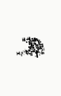 CCn1cnc2c(Nc3cccc(Cl)c3)nc(N(N=C(N)N)C3CCCCC3)nc21